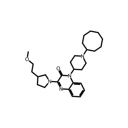 COCCC1CCN(c2nc3ccccc3n(C3CCN(C4CCCCCCC4)CC3)c2=O)C1